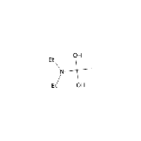 CCN(CC)C(C)(O)O